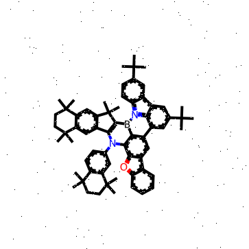 CC(C)(C)c1ccc2c(c1)c1cc(C(C)(C)C)cc3c1n2B1C2=C(c4cc5c(cc4C2(C)C)C(C)(C)CCC5(C)C)N(c2ccc4c(c2)C(C)(C)CCC4(C)C)c2c1c-3cc1c2oc2ccccc21